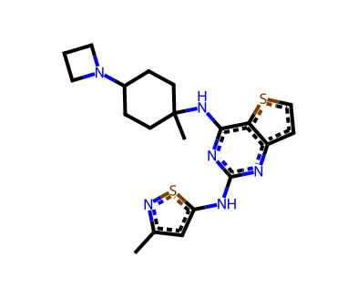 Cc1cc(Nc2nc(NC3(C)CCC(N4CCC4)CC3)c3sccc3n2)sn1